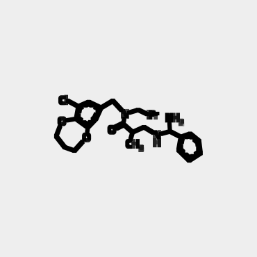 CC(C)CN(Cc1cc(Cl)c2c(c1)OCCCO2)C(=O)C(C)CNC(N)c1ccccc1